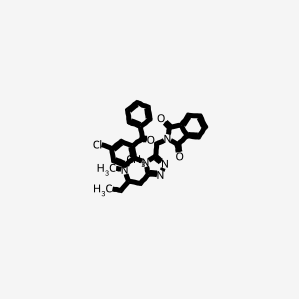 CCC(Cc1nnc(CN2C(=O)c3ccccc3C2=O)n1-c1ccc(Cl)cc1C(=O)c1ccccc1)N(C)C